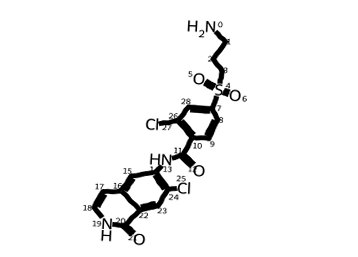 NCCCS(=O)(=O)c1ccc(C(=O)Nc2cc3cc[nH]c(=O)c3cc2Cl)c(Cl)c1